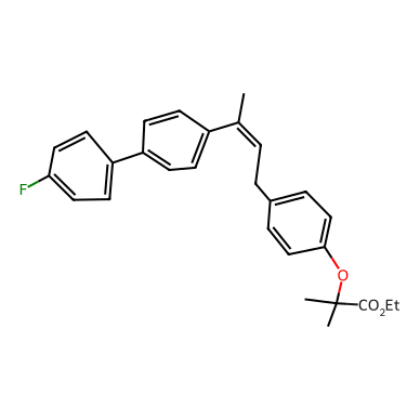 CCOC(=O)C(C)(C)Oc1ccc(CC=C(C)c2ccc(-c3ccc(F)cc3)cc2)cc1